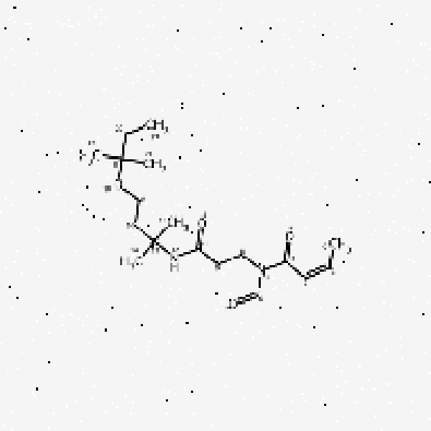 C/C=C\C(=O)N(C=O)CCC(=O)NC(C)(C)CCOC(C)(C)CC